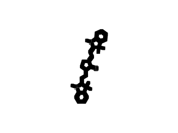 CN1/C(=C/C=C2\CC/C(=C\C=C3\N(C)c4ccccc4C3(C)C)C2=O)C(C)(C)c2ccccc21